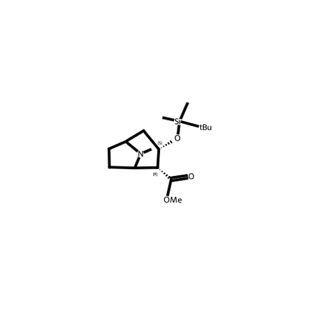 COC(=O)[C@@H]1C2CCC(C[C@@H]1O[Si](C)(C)C(C)(C)C)N2C